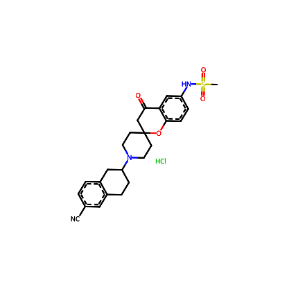 CS(=O)(=O)Nc1ccc2c(c1)C(=O)CC1(CCN(C3CCc4cc(C#N)ccc4C3)CC1)O2.Cl